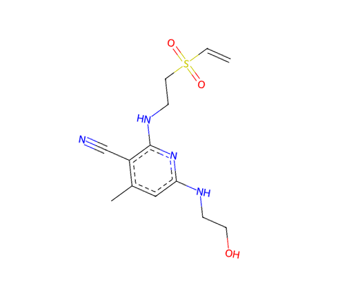 C=CS(=O)(=O)CCNc1nc(NCCO)cc(C)c1C#N